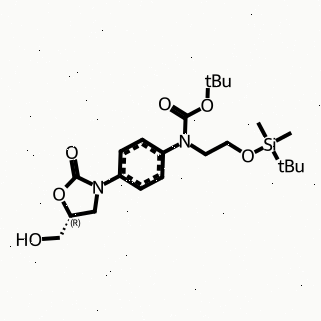 CC(C)(C)OC(=O)N(CCO[Si](C)(C)C(C)(C)C)c1ccc(N2C[C@H](CO)OC2=O)cc1